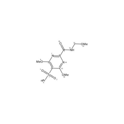 CCCS(=O)(=O)c1c(OC)nc(C(=O)NCOC)nc1OC